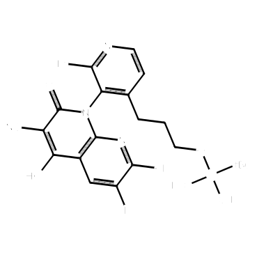 CC(C)c1nccc(CCCO[Si](C)(C)C(C)(C)C)c1-n1c(=O)c(C#N)c(O)c2cc(F)c(Cl)nc21